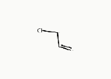 [CH]=C[CH]Cl